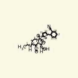 CCNN1CCN(S(=O)(=O)c2ccc(-c3ccccc3C#N)s2)[C@@H](C(=O)NO)C1=C=O